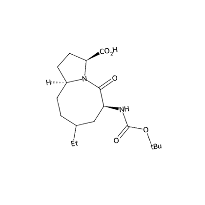 CCC1CC[C@H]2CC[C@@H](C(=O)O)N2C(=O)[C@@H](NC(=O)OC(C)(C)C)C1